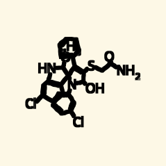 COC1Nc2cc(Cl)ccc2C12C(c1ccccc1)=C(SCC(N)=O)C(O)N2c1cccc(Cl)c1